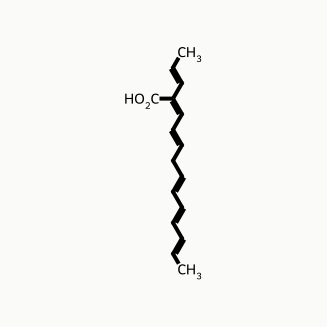 C/C=C/C=C/C=C/C/C=C/C=C(/C=C/C)C(=O)O